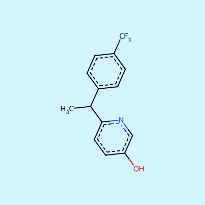 CC(c1ccc(C(F)(F)F)cc1)c1ccc(O)cn1